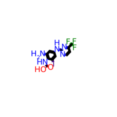 Nc1cc(Nc2nccc(C(F)(F)F)n2)cc(I)c1NC(=O)O